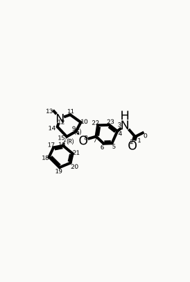 CC(=O)Nc1ccc(O[C@H]2CCN(C)C[C@H]2c2ccccc2)cc1